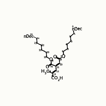 CCCCCCCCCCCCCCCCOC(=O)C=C(C=C(C)C(=O)O)C(=O)OCCCCCCCCCCCCCCCC